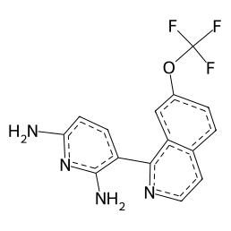 Nc1ccc(-c2nccc3ccc(OC(F)(F)F)cc23)c(N)n1